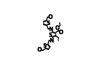 CCOC(=O)c1c(/N=C/c2ccc(C=O)s2)sc(/N=C/c2ccc(C=O)s2)c1CC